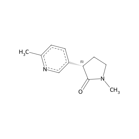 Cc1ccc([C@@H]2CCN(C)C2=O)cn1